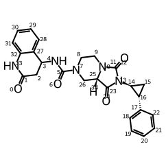 O=C1CC(NC(=O)N2CCN3C(=O)N([C@H]4C[C@@H]4c4ccccc4)C(=O)[C@@H]3C2)c2ccccc2N1